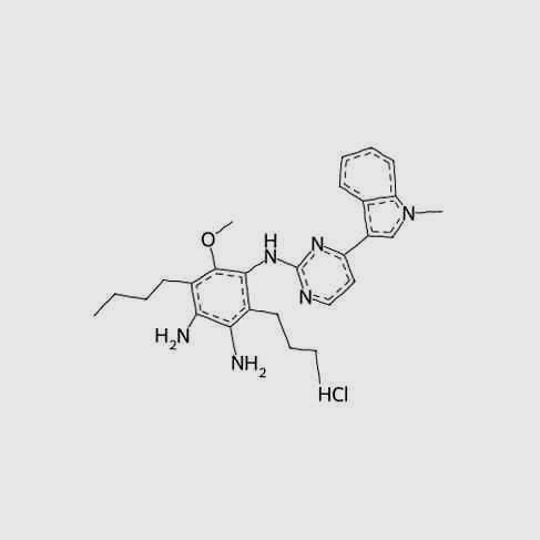 CCCCc1c(N)c(N)c(CCCC)c(OC)c1Nc1nccc(-c2cn(C)c3ccccc23)n1.Cl